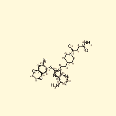 NC(=O)CCC(=O)N1CCC(CCn2c(Sc3cc4c(cc3Br)OCCO4)nc3c(N)ncnc32)CC1